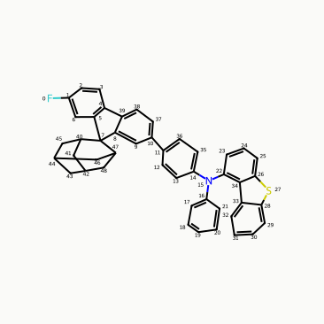 Fc1ccc2c(c1)C1(c3cc(-c4ccc(N(c5ccccc5)c5cccc6sc7ccccc7c56)cc4)ccc3-2)C2CC3CC(C2)CC1C3